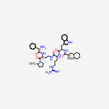 CN[C@H](CC1CCCCC1)C(=O)NC(Cc1c[nH]c2ccccc12)C(=O)NC(CCCNC(=N)N)C(=O)NCC[C@H](NC(=O)[C@@H](N)c1ccccc1)C(=O)N1CCCC1C=O